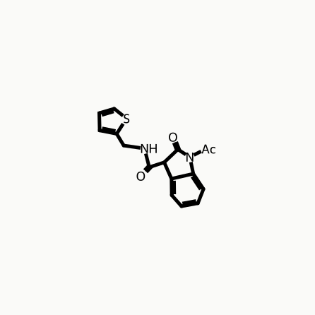 CC(=O)N1C(=O)C(C(=O)NCc2cccs2)c2ccccc21